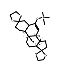 C[C@]12CCC3(CC1C(O[Si](C)(C)C)=C[C@@H]1[C@@H]2CC[C@@]2(C)[C@H]1CCC21OCCO1)OCCO3